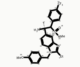 CCc1nc2cc([C@@](C)(N)C(c3ccc(C(F)(F)F)cc3)S(=O)(=O)NC)ccc2n1Cc1ccc(OC)cc1